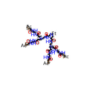 CCN(CCC(=O)NCCN(CCC(=O)NCCNC(=O)CSC(C)=O)CCC(=O)NCCNC(=O)CSC(C)=O)CCC(=O)NCCN(CCC(=O)NCCNC(=O)CSC(C)=O)CCC(=O)NCCNC(=O)CSC(C)=O